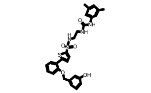 Cc1cc(C)cc(NC(=O)NCCNS(=O)(=O)c2ccc(-c3ccccc3OCc3cccc(O)c3)s2)c1